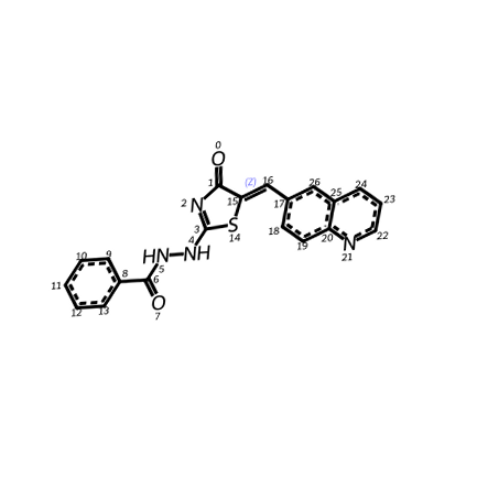 O=C1N=C(NNC(=O)c2ccccc2)S/C1=C\c1ccc2ncccc2c1